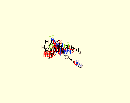 COC(=O)N[C@H](C(=O)N[C@@H](Cc1ccc(C#Cc2cnc(N3CC4CCC(C3)N4C3COC3)nc2)cc1)[C@H](CN(Cc1c(F)cc(-c2ccn(C(F)F)n2)cc1F)NC(=O)[C@@H](NC(=O)OC)C(C)(C)C(F)(F)F)OC(=O)CC(C)(C)c1c(CC(=O)N[C@]2(C(=O)OC)CCOC2)cc(C)cc1OP(=O)(O)O)C(C)(C)C(F)(F)F